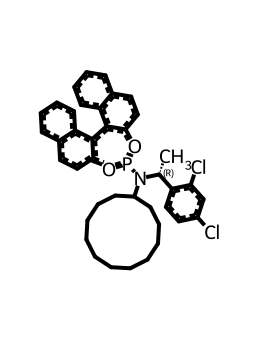 C[C@H](c1ccc(Cl)cc1Cl)N(C1CCCCCCCCCCC1)p1oc2ccc3ccccc3c2c2c(ccc3ccccc32)o1